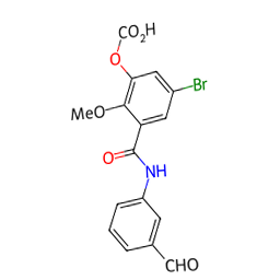 COc1c(OC(=O)O)cc(Br)cc1C(=O)Nc1cccc(C=O)c1